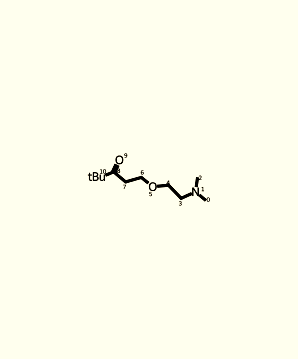 CN(C)CCOCCC(=O)C(C)(C)C